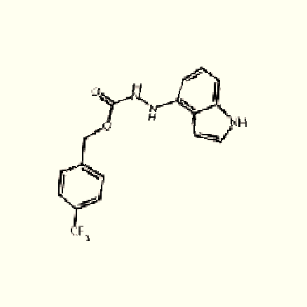 O=C(NNc1cccc2[nH]ccc12)OCc1ccc(C(F)(F)F)cc1